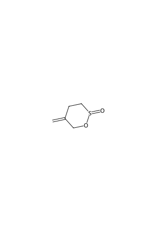 C=C1CCS(=O)OC1